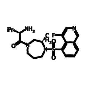 CC(C)[C@@H](N)C(=O)N1CCCN(S(=O)(=O)c2cccc3cncc(F)c23)[C@@H](C)C1